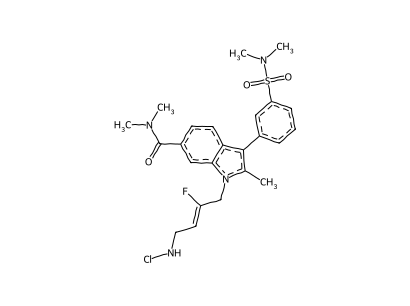 Cc1c(-c2cccc(S(=O)(=O)N(C)C)c2)c2ccc(C(=O)N(C)C)cc2n1C/C(F)=C/CNCl